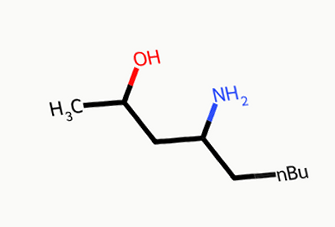 CCCCCC(N)CC(C)O